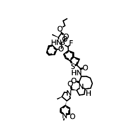 CCCOC(=O)[C@H](C)NP(=O)(Oc1ccccc1)C(F)c1ccc2sc(C(=O)NC3CCCC[C@H]4CC[C@@H](C(=O)N5C[C@H](c6ccn(C)c(=O)c6)[C@@H](C)C5)N4C3=O)cc2c1